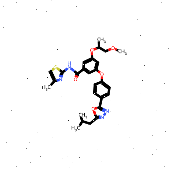 COCC(C)Oc1cc(Oc2ccc(-c3nnc(CC(C)C)o3)cc2)cc(C(=O)Nc2nc(C)cs2)c1